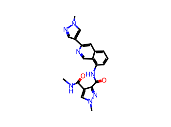 CNC(=O)c1cn(C)nc1C(=O)Nc1cccc2cc(-c3cnn(C)c3)ncc12